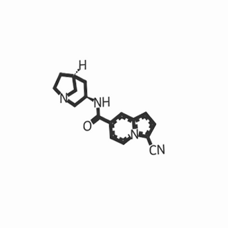 N#Cc1ccc2cc(C(=O)N[C@@H]3C[C@@H]4CCN(C4)C3)ccn12